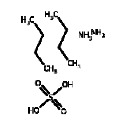 CCCC.CCCC.N.N.O=S(=O)(O)O